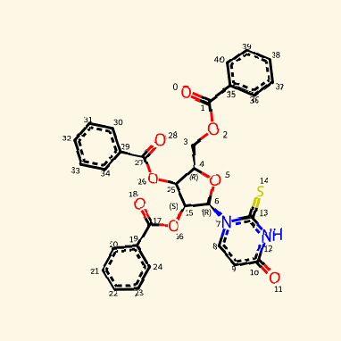 O=C(OC[C@H]1O[C@@H](n2ccc(=O)[nH]c2=S)[C@@H](OC(=O)c2ccccc2)C1OC(=O)c1ccccc1)c1ccccc1